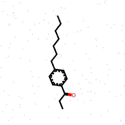 CCCCCCCc1ccc(C(=O)CC)cc1